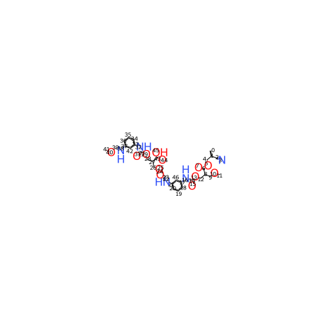 C=C(C#N)COC(=O)C(COC)COC(=O)Nc1cccc(NCOOCC(COC(=O)Nc2cccc(NCOC)c2)C(=O)O)c1